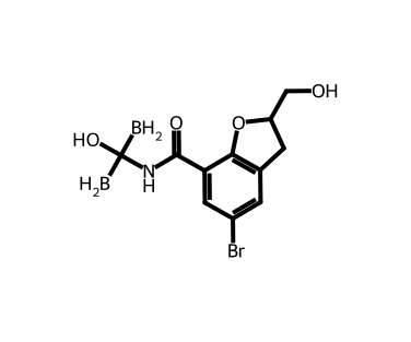 BC(B)(O)NC(=O)c1cc(Br)cc2c1OC(CO)C2